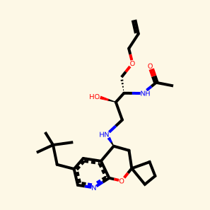 C=CCOC[C@H](NC(C)=O)[C@H](O)CN[C@H]1CC2(CCC2)Oc2ncc(CC(C)(C)C)cc21